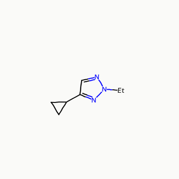 CCn1ncc(C2CC2)n1